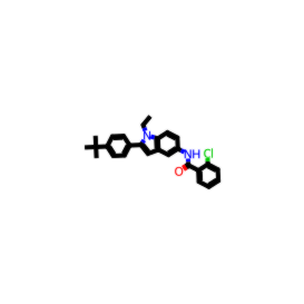 CCn1c(-c2ccc(C(C)(C)C)cc2)cc2cc(NC(=O)c3ccccc3Cl)ccc21